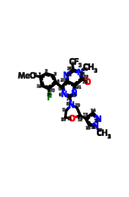 COc1ccc(-c2nc(N3CCO[C@H](c4cnn(C)c4)C3)nc3c(=O)n(C)c(C(F)(F)F)nc23)c(F)c1